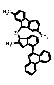 CC1=Cc2c(-c3cc4ccccc4c4ccccc34)cccc2[CH]1[Zr][CH]1c2cc(C)ccc2-c2ccc(C)cc21